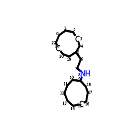 C1CCCCC(CCNC2CCCCCCCCC2)CCCC1